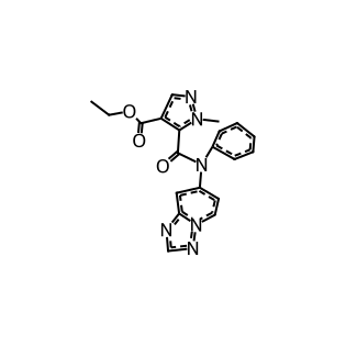 CCOC(=O)c1cnn(C)c1C(=O)N(c1ccccc1)c1ccn2ncnc2c1